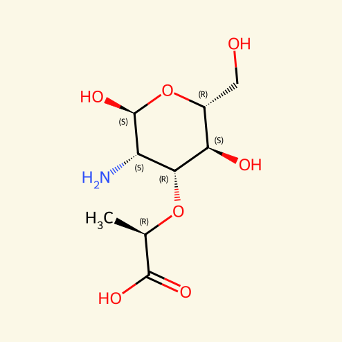 C[C@@H](O[C@@H]1[C@H](N)[C@@H](O)O[C@H](CO)[C@H]1O)C(=O)O